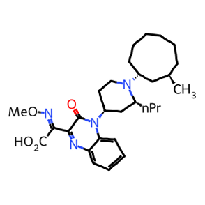 CCC[C@H]1C[C@@H](n2c(=O)c(/C(=N/OC)C(=O)O)nc3ccccc32)CCN1[C@@H]1CCCCCC[C@@H](C)C1